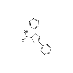 O=C(O)C1CC(c2ccccc2)=CC1c1ccccc1